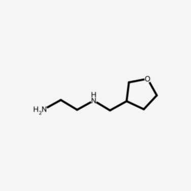 NCCNCC1CCOC1